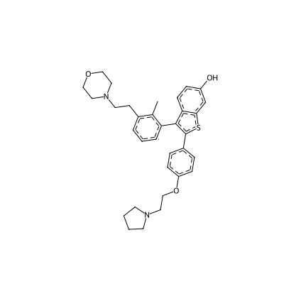 Cc1c(-c2c(-c3ccc(OCCN4CCCC4)cc3)sc3cc(O)ccc23)[c]ccc1CCN1CCOCC1